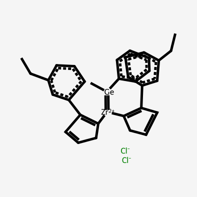 CCc1cccc(C2=[C]([Zr+2]([C]3=C(c4cccc(CC)c4)C=CC3)=[Ge]([CH3])[c]3ccccc3)CC=C2)c1.[Cl-].[Cl-]